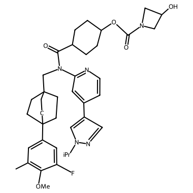 COc1c(C)cc(C23CCC(CN(C(=O)C4CCC(OC(=O)N5CC(O)C5)CC4)c4cc(-c5cnn(C(C)C)c5)ccn4)(CC2)CC3)cc1F